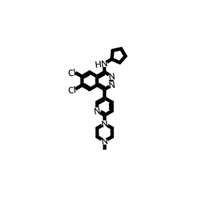 CN1CCN(c2ccc(-c3nnc(NC4CCCC4)c4cc(Cl)c(Cl)cc34)cn2)CC1